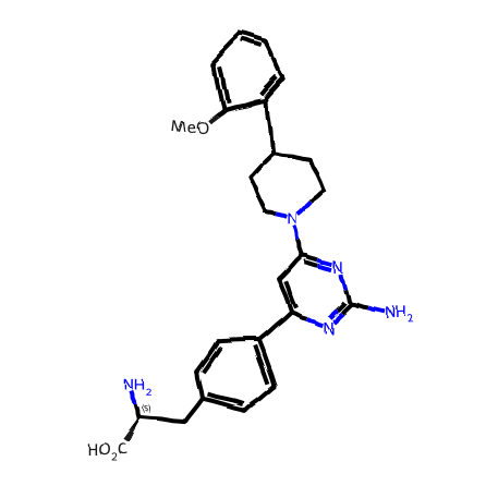 COc1ccccc1C1CCN(c2cc(-c3ccc(C[C@H](N)C(=O)O)cc3)nc(N)n2)CC1